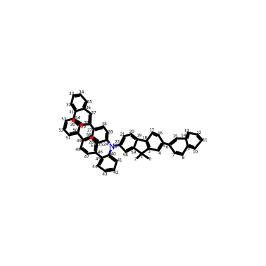 CC1(C)c2cc(-c3ccc4ccccc4c3)ccc2-c2ccc(N(c3ccc(-c4ccc5ccccc5c4)cc3)c3ccccc3-c3ccc(-c4ccccc4)cc3)cc21